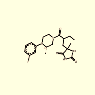 CCC(CC1(C)NC(=O)NC1=O)C(=O)N1CCN(c2cccc(F)c2)[C@@H](C)C1